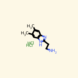 Cc1cc2nc(CCN)[nH]c2cc1C.Cl.Cl